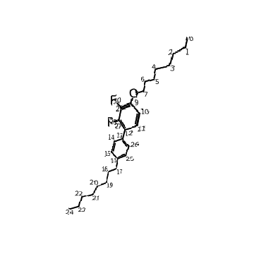 CCCCCCCCOc1ccc(-c2ccc(CCCCCCCC)cc2)c(F)c1F